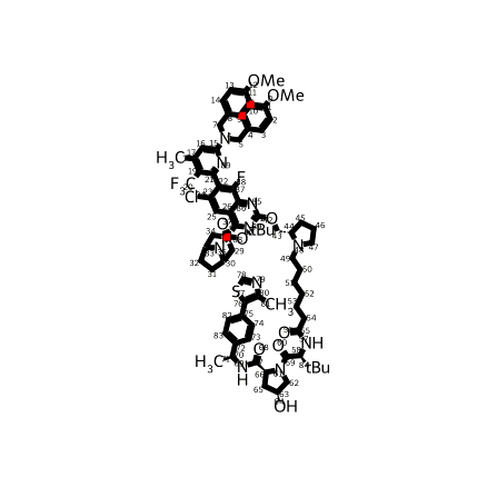 COc1ccc(CN(Cc2ccc(OC)cc2)c2cc(C)c(C(F)(F)F)c(-c3c(Cl)cc4c(N5CC6CCC(C5)N6C(=O)OC(C)(C)C)nc(OC[C@@H]5CCCN5CCCCCCC(=O)N[C@H](C(=O)N5C[C@H](O)C[C@H]5C(=O)N[C@@H](C)c5ccc(-c6scnc6C)cc5)C(C)(C)C)nc4c3F)n2)cc1